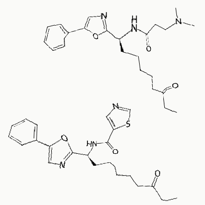 CCC(=O)CCCCC[C@H](NC(=O)CCN(C)C)c1ncc(-c2ccccc2)o1.CCC(=O)CCCCC[C@H](NC(=O)c1cncs1)c1ncc(-c2ccccc2)o1